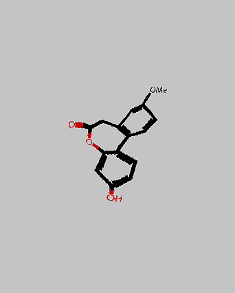 COc1ccc2c(c1)CC(=O)Oc1cc(O)ccc1-2